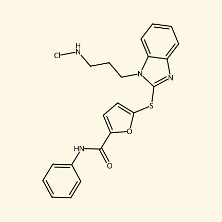 O=C(Nc1ccccc1)c1ccc(Sc2nc3ccccc3n2CCCNCl)o1